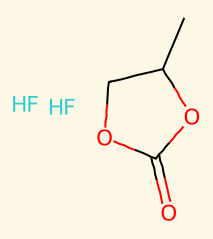 CC1COC(=O)O1.F.F